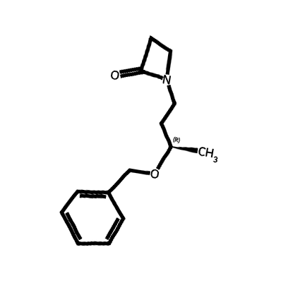 C[C@H](CCN1CCC1=O)OCc1ccccc1